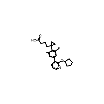 O=C(O)CCCC1(c2c(F)cc(-c3cccnc3OC3CCCC3)cc2F)CC1